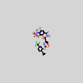 C[C@@H](NC(=O)c1coc(Oc2cc(C(F)(F)F)ccc2C2CC2)n1)c1cc(F)c(NS(C)(=O)=O)c(F)c1